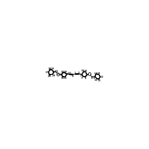 C(C#Cc1ccc(OCc2ccccc2)cc1)#Cc1ccc(OCc2ccccc2)cc1